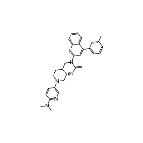 C=C(C(C)C)N(CC1CCN(c2ccc(N(C)C)nc2)CC1)c1cc(-c2cccc(C)c2)c2ccccc2n1